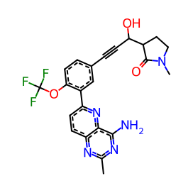 Cc1nc(N)c2nc(-c3cc(C#CC(O)C4CCN(C)C4=O)ccc3OC(F)(F)F)ccc2n1